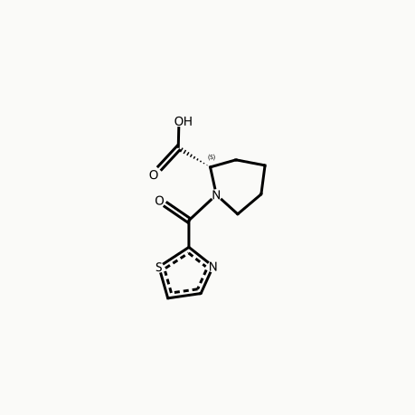 O=C(O)[C@@H]1CCCCN1C(=O)c1nccs1